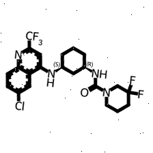 O=C(N[C@@H]1CCC[C@H](Nc2cc(C(F)(F)F)nc3ccc(Cl)cc23)C1)N1CCCC(F)(F)C1